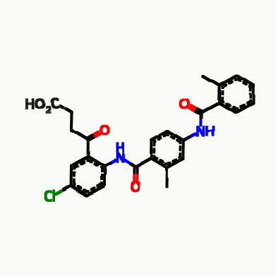 Cc1ccccc1C(=O)Nc1ccc(C(=O)Nc2ccc(Cl)cc2C(=O)CCC(=O)O)c(C)c1